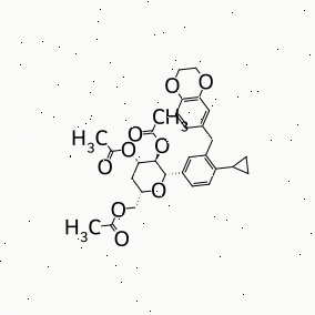 CC(=O)OC[C@@H]1C[C@H](OC(C)=O)[C@@H](OC(C)=O)[C@H](c2ccc(C3CC3)c(Cc3ccc4c(c3)OCCO4)c2)O1